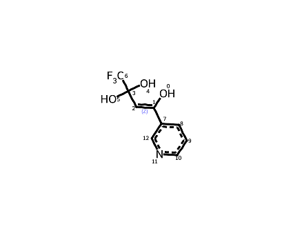 O/C(=C\C(O)(O)C(F)(F)F)c1cccnc1